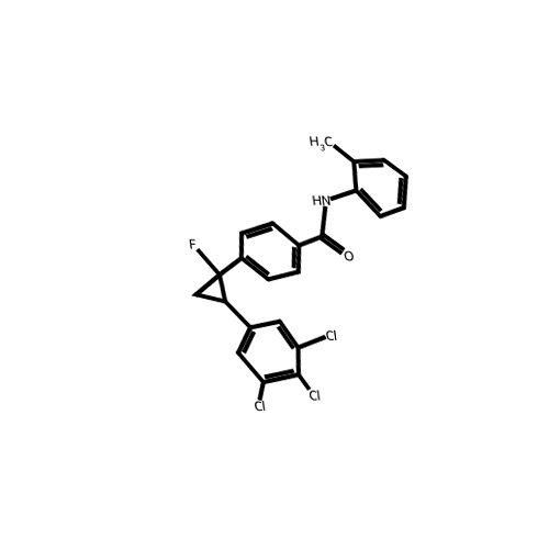 Cc1ccccc1NC(=O)c1ccc(C2(F)CC2c2cc(Cl)c(Cl)c(Cl)c2)cc1